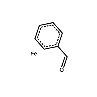 O=Cc1ccccc1.[Fe]